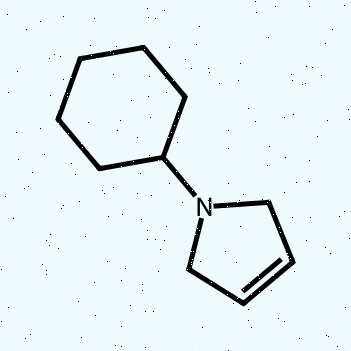 C1=CCN(C2CCCCC2)C1